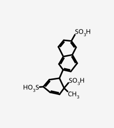 CC1(S(=O)(=O)O)C=CC(S(=O)(=O)O)=CC1c1ccc2cc(S(=O)(=O)O)ccc2c1